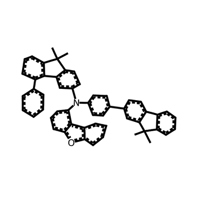 CC1(C)c2ccccc2-c2ccc(-c3ccc(N(c4ccc5c(c4)-c4c(-c6ccccc6)cccc4C5(C)C)c4cccc5oc6ccccc6c45)cc3)cc21